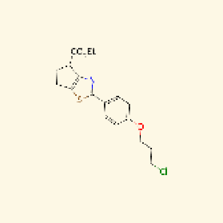 CCOC(=O)C1CCc2sc(-c3ccc(OCCCCl)cc3)nc21